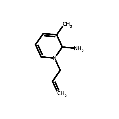 C=CCN1C=CC=C(C)C1N